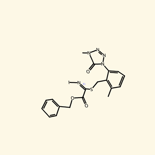 Cc1cccc(-n2nnn(C)c2=O)c1CS/C(=N/I)C(=O)OCc1ccccc1